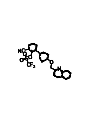 N#Cc1cccc(-c2ccc(OCc3ccc4ccccc4n3)cc2)c1OS(=O)(=O)C(F)(F)F